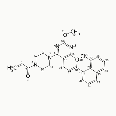 C=CC(=O)N1CCN(c2nc(OC)nc3c2CC=C(c2cccc4cccc(Cl)c24)O3)CC1